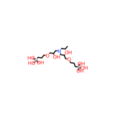 CCCN(CC(O)COCCC[Si](O)(O)O)CC(O)COCCC[Si](O)(O)O